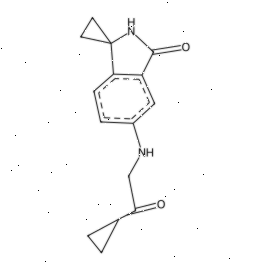 O=C1NC2(CC2)c2ccc(NCC(=O)C3CC3)cc21